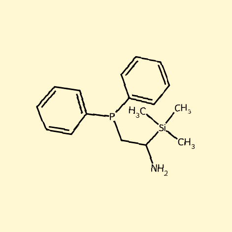 C[Si](C)(C)C(N)CP(c1ccccc1)c1ccccc1